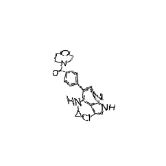 O=C(c1ccc(-c2cnc3[nH]cc(Cl)c3c2NC2CC2)cc1)N1CCOCC1